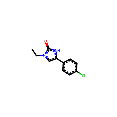 CCn1cc(-c2ccc(Cl)cc2)[nH]c1=O